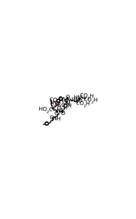 Cc1ccc(CCCC(=O)NCCCC[C@H](NC(=O)CCC(C(=O)O)N2CCN(CC(=O)O)CCN(CC(=O)O)CC2)C(=O)NCC2CCC(C(=O)N[C@H](Cc3ccc4ccccc4c3)C(=O)NCCCCC(NC(=O)N[C@H](CCC(=O)O)C(=O)O)C(=O)O)CC2)cc1